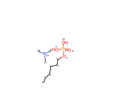 CCCCCCOP(=O)(O)O.CN(C)C